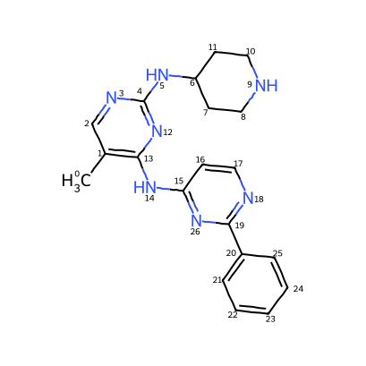 Cc1cnc(NC2CCNCC2)nc1Nc1ccnc(-c2ccccc2)n1